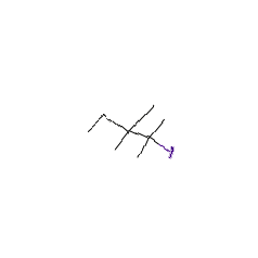 CCC(C)(C)C(C)(C)I